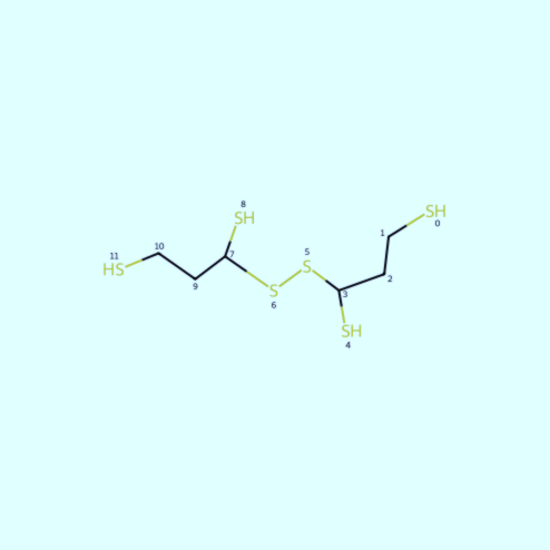 SCCC(S)SSC(S)CCS